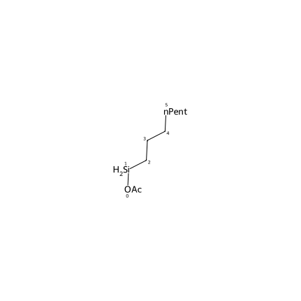 [CH2]C(=O)O[SiH2]CCCCCCCC